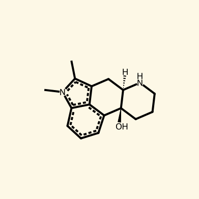 Cc1c2c3c(cccc3n1C)[C@@]1(O)CCCN[C@@H]1C2